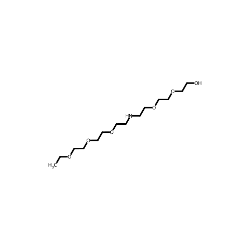 CCOCCOCCOCCNCCOCCOCCO